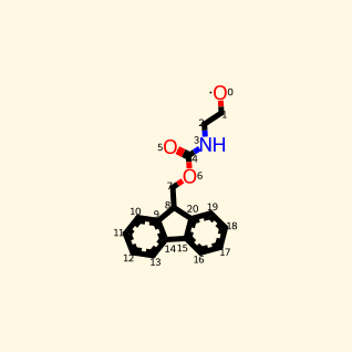 [O]CCNC(=O)OCC1c2ccccc2-c2ccccc21